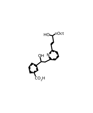 CCCCCCCCC(O)C=Cc1cccc(CC(O)c2cccc(C(=O)O)c2)n1